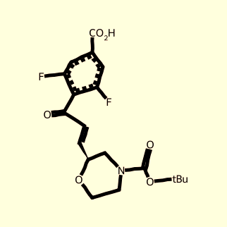 CC(C)(C)OC(=O)N1CCO[C@@H](/C=C/C(=O)c2c(F)cc(C(=O)O)cc2F)C1